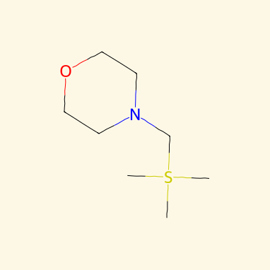 CS(C)(C)CN1CCOCC1